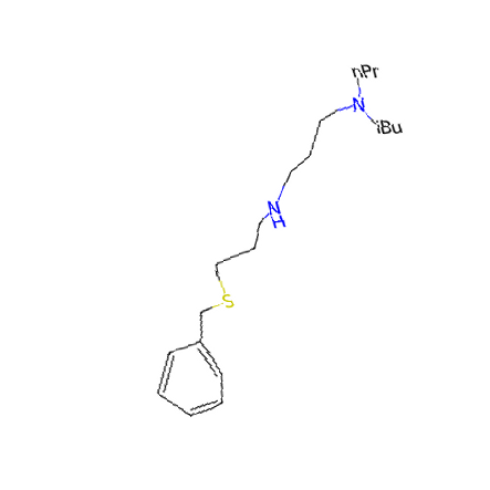 CCCN(CCCNCCCSCc1ccccc1)C(C)CC